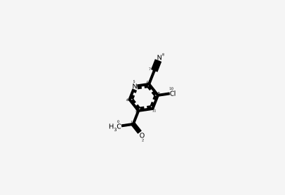 CC(=O)c1cnc(C#N)c(Cl)c1